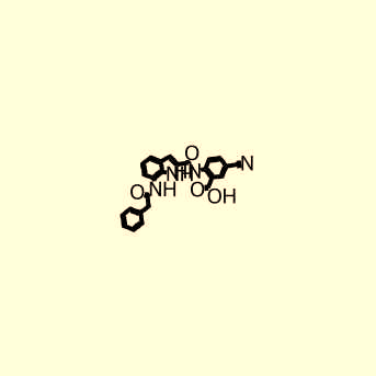 N#Cc1ccc(NC(=O)c2cc3cccc(NC(=O)Cc4ccccc4)c3[nH]2)c(C(=O)O)c1